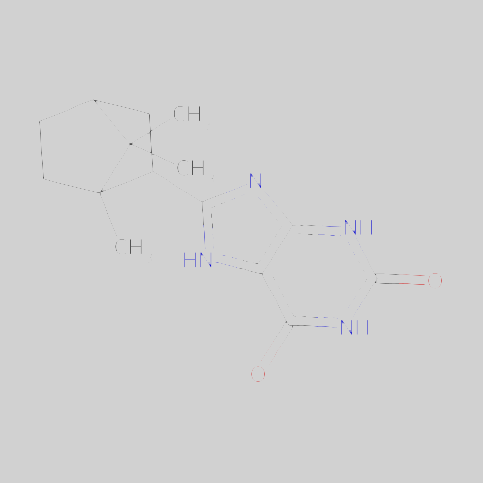 CC1(C)C2CCC1(C)C(c1nc3[nH]c(=O)[nH]c(=O)c3[nH]1)C2